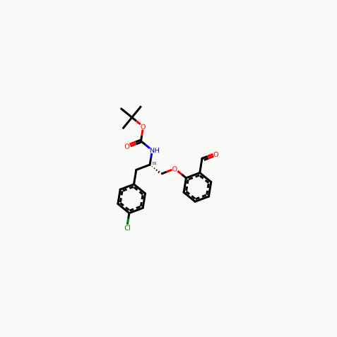 CC(C)(C)OC(=O)N[C@H](COc1ccccc1C=O)Cc1ccc(Cl)cc1